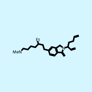 C=CCCC(C=C)N1Cc2cc(CCC(CC)CCCCNC)ccc2C1=C